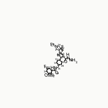 CCN1CC(n2cc(C(=O)NN)c(-c3ccc(CNC(=O)c4cc(F)ccc4OC)cc3)n2)C(F)(F)C1